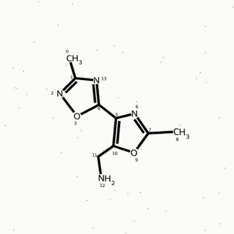 Cc1noc(-c2nc(C)oc2CN)n1